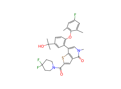 Cc1cc(F)cc(C)c1Oc1ccc(C(C)(C)O)cc1-c1cn(C)c(=O)c2cc(C(=O)N3CCC(F)(F)CC3)sc12